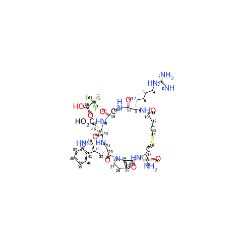 N=C(N)NCCCC[C@@H]1NC(=O)CCSSC[C@@H](C(N)=O)NC(=O)[C@@H]2CCCN2C(=O)[C@H](Cc2c[nH]c3ccccc23)NC(=O)[C@H](CC(=O)O)NC(=O)CNC1=O.O=C(O)C(F)(F)F